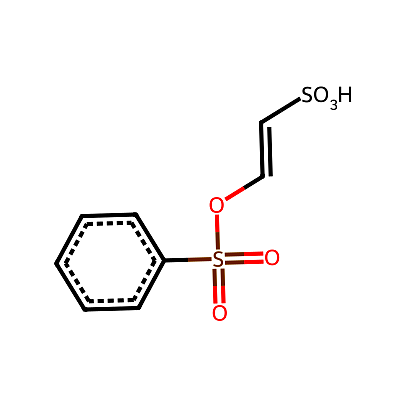 O=S(=O)(O)C=COS(=O)(=O)c1ccccc1